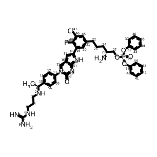 C[C@H](NCCCNC(=N)N)c1ccc(-n2cc3cc(-c4cc(CCC[C@@H](N)COP(=O)(Oc5ccccc5)Oc5ccccc5)cc(Cl)c4F)[nH]c3nc2=O)cc1